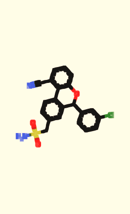 N#Cc1cccc2c1-c1ccc(CS(N)(=O)=O)cc1C(c1cccc(Cl)c1)O2